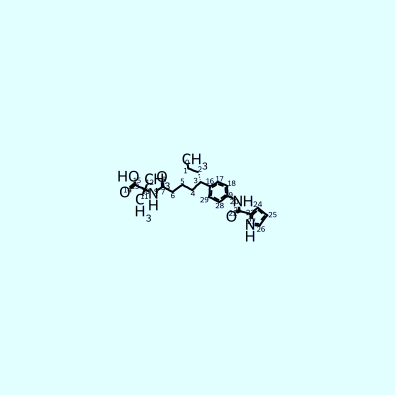 CCC[C@@H](CCCC(=O)NC(C)(C)C(=O)O)c1ccc(NC(=O)c2ccc[nH]2)cc1